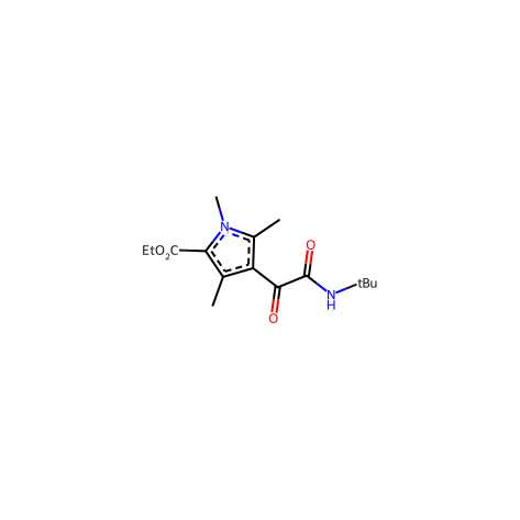 CCOC(=O)c1c(C)c(C(=O)C(=O)NC(C)(C)C)c(C)n1C